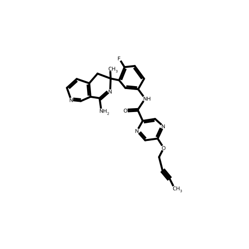 CC#CCOc1cnc(C(=O)Nc2ccc(F)c(C3(C)Cc4ccncc4C(N)=N3)c2)cn1